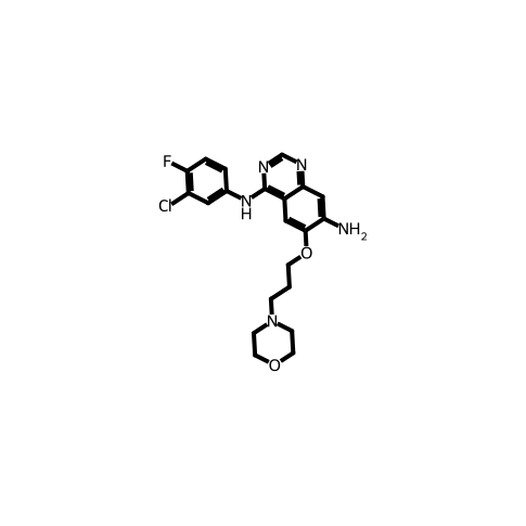 Nc1cc2ncnc(Nc3ccc(F)c(Cl)c3)c2cc1OCCCN1CCOCC1